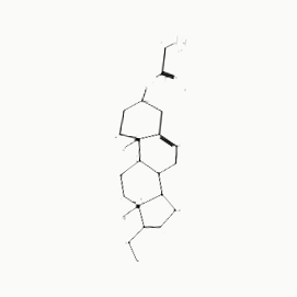 CCC1CCC2C3CC=C4CC(OC(=O)CBr)CCC4(C)C3CCC12C